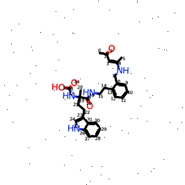 CC(=O)C=C(C)NCc1ccccc1CCNC(=O)C(C)(CCc1c[nH]c2ccccc12)NC(=O)O